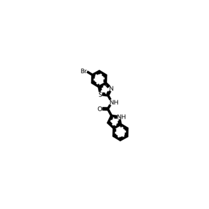 O=C(Nc1nc2ccc(Br)cc2s1)c1cc2ccccc2[nH]1